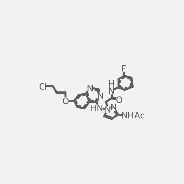 CC(=O)NC1=N[N+](CC(=O)Nc2cccc(F)c2)(Nc2ncnc3cc(OCCCCl)ccc23)C=C1